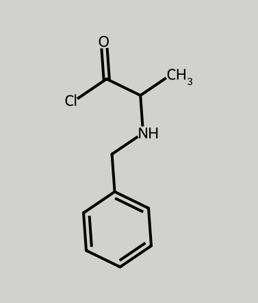 CC(NCc1ccccc1)C(=O)Cl